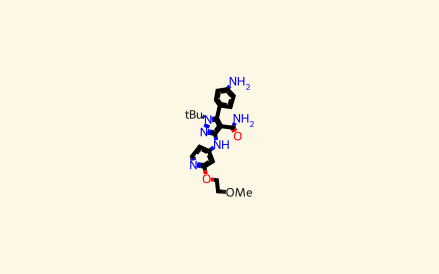 COCCOc1cc(Nc2nn(C(C)(C)C)c(-c3ccc(N)cc3)c2C(N)=O)ccn1